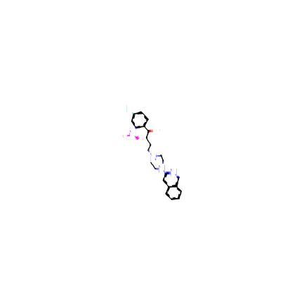 O=C(CCCN1CCN(c2cc3ccccc3cn2)CC1)c1ccc(F)cc1[N+](=O)[O-]